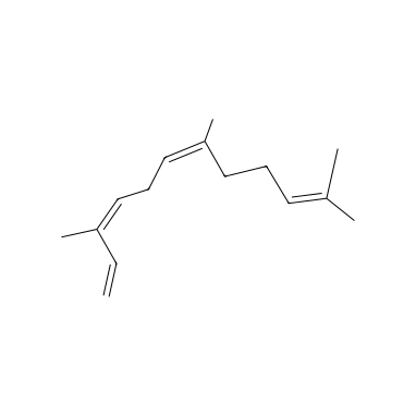 C=C/C(C)=C\C/C=C(/C)CCC=C(C)C